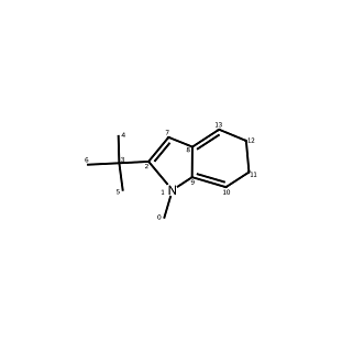 Cn1c(C(C)(C)C)cc2c1=CCCC=2